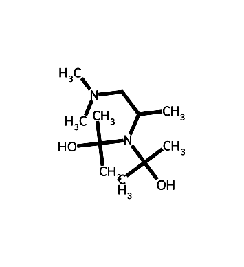 CC(CN(C)C)N(C(C)(C)O)C(C)(C)O